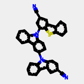 N#Cc1cc(-n2c3ccccc3c3cc(-n4c5ccccc5c5cc(C#N)ccc54)ccc32)c2sc3ccccc3c2c1